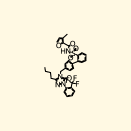 CCCCc1nn(-c2ccccc2C(F)(F)F)c(=O)n1Cc1ccc(-c2ccccc2S(=O)(=O)NC(=O)c2occc2C)cc1